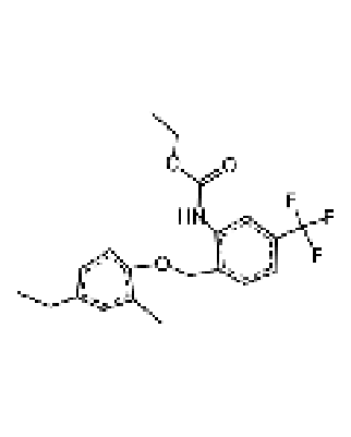 CCOC(=O)Nc1cc(C(F)(F)F)ccc1COc1ccc(CC)cc1C